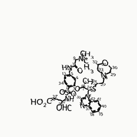 C[C@@H](Oc1cc(NC(=O)CN(C)C)ccc1S(=O)(=O)NC(C=O)CC(=O)O)C(SCCN1CCOCC1)n1cnc2ccccc21